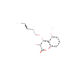 CC/C=C/CCOc1c(O)c(=O)oc2cccc(OCCCCCCCCCC)c12